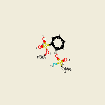 CCCCOS(=O)(=O)c1ccccc1.COS(=O)(=O)F